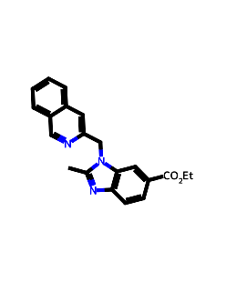 CCOC(=O)c1ccc2nc(C)n(Cc3cc4ccccc4cn3)c2c1